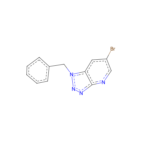 Brc1cnc2nnn(Cc3ccccc3)c2c1